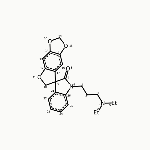 CCN(CC)CCCN1C(=O)C2(COc3cc4c(cc32)OCO4)c2ccccc21